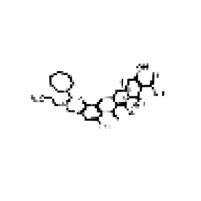 CCCN(Cc1cc(O)c2c(c1F)CC1C[C@H]3CC(O)=C(C(N)=O)C(=O)[C@@]3(O)C(O)=C1C2=O)CC1CCCCCC1